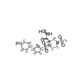 CS(=O)(=O)N1CCN(S(=O)(=O)c2ccc(-c3ccc(F)cc3)s2)[C@@H](C(=O)NO)C1